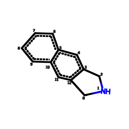 [CH]1NCc2cc3ccccc3cc21